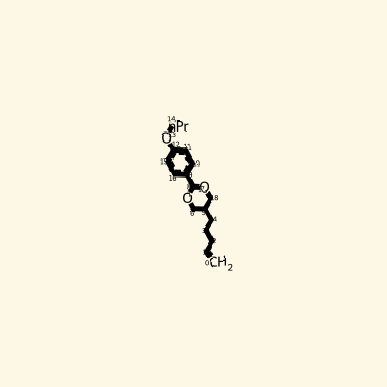 C=CCCCC1COC(c2ccc(OCCC)cc2)OC1